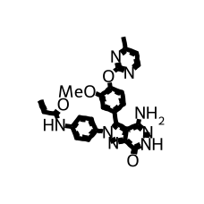 C=CC(=O)Nc1ccc(-n2nc3c(=O)[nH]nc(N)c3c2-c2ccc(Oc3nccc(C)n3)c(OC)c2)cc1